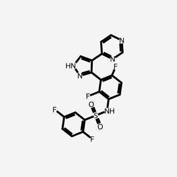 O=S(=O)(Nc1ccc(F)c(-c2n[nH]cc2-c2ccncn2)c1F)c1cc(F)ccc1F